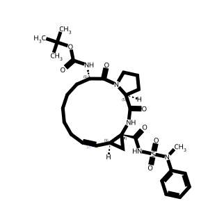 CN(c1ccccc1)S(=O)(=O)NC(=O)[C@@]12C[C@H]1/C=C\CCCCC[C@H](NC(=O)OC(C)(C)C)C(=O)N1CCC[C@H]1C(=O)N2